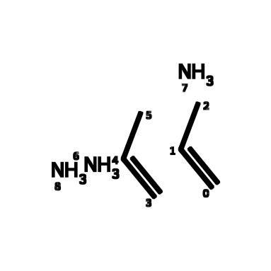 C=CC.C=CC.N.N.N